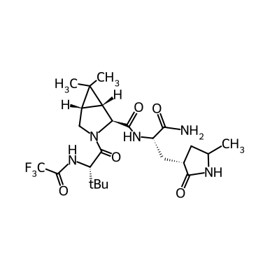 CC1C[C@@H](C[C@H](NC(=O)[C@@H]2[C@@H]3[C@H](CN2C(=O)[C@@H](NC(=O)C(F)(F)F)C(C)(C)C)C3(C)C)C(N)=O)C(=O)N1